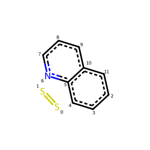 S=S.c1ccc2ncccc2c1